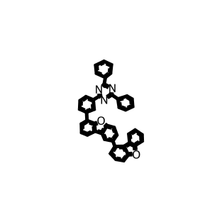 c1ccc(-c2nc(-c3ccccc3)nc(-c3cccc(-c4cccc5c4oc4ccc(-c6cccc7oc8ccccc8c67)cc45)c3)n2)cc1